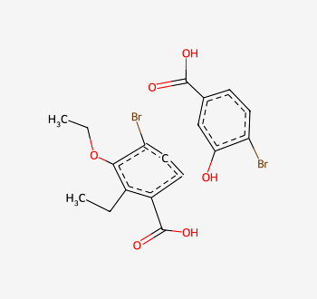 CCOc1c(Br)ccc(C(=O)O)c1CC.O=C(O)c1ccc(Br)c(O)c1